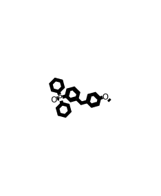 COc1ccc(Cc2cccc(P(=O)(C3CCCCC3)C3CCCCC3)c2)cc1